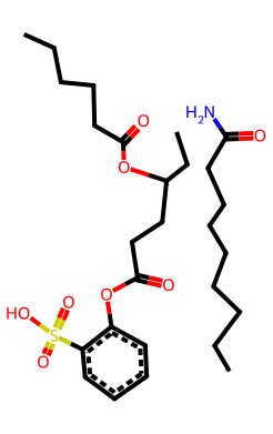 CCCCCC(=O)OC(CC)CCC(=O)Oc1ccccc1S(=O)(=O)O.CCCCCCCCC(N)=O